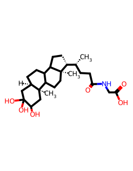 C[C@H](CCC(=O)NCC(=O)O)[C@H]1CCC2C3CC[C@@H]4CC(O)(O)C(O)C[C@]4(C)C3CC[C@@]21C